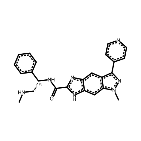 CNC[C@@H](NC(=O)c1nc2cc3c(-c4ccncc4)nn(C)c3cc2[nH]1)c1ccccc1